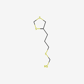 SCSCCCC1CSCS1